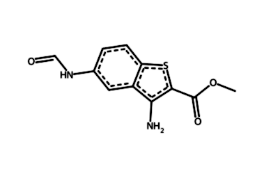 COC(=O)c1sc2ccc(NC=O)cc2c1N